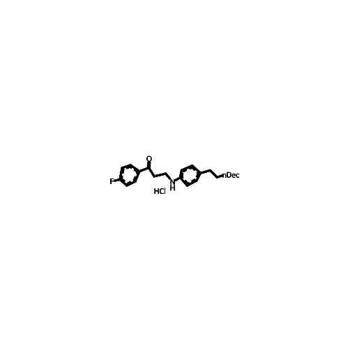 CCCCCCCCCCCCc1ccc(NCCC(=O)c2ccc(F)cc2)cc1.Cl